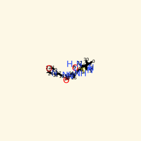 Cc1nnc2sc(C(=O)NC3CN(C(=O)NCCCN4CCOCC4)C3)c(N)c2c1C